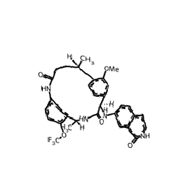 COc1cc2ccc1[C@@H](C)CCC(=O)Nc1ccc(OC(F)(F)F)c(c1)[C@@H](C)NC(=O)[C@@H]2Nc1ccc2cc[nH]c(=O)c2c1